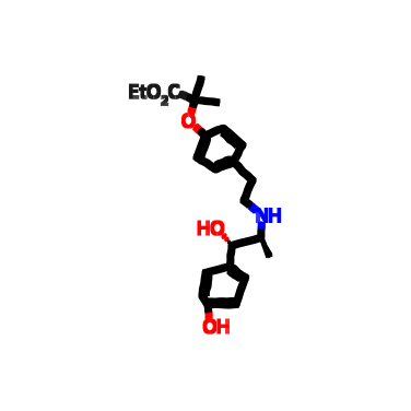 CCOC(=O)C(C)(C)Oc1ccc(CCN[C@@H](C)[C@@H](O)c2ccc(O)cc2)cc1